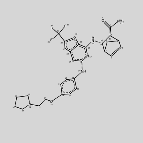 NC(=O)[C@H]1C2C=CC(C2)[C@@H]1Nc1nc(Nc2ccc(OCCN3CCCC3)cc2)nc2cc(C(F)(F)F)sc12